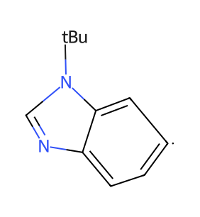 CC(C)(C)n1cnc2cc[c]cc21